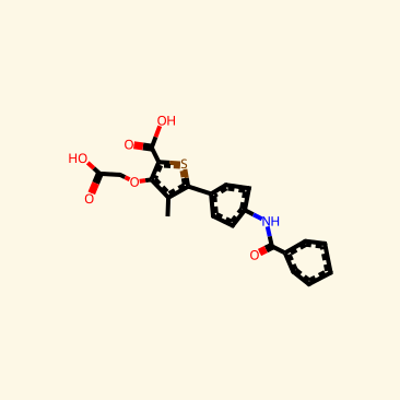 Cc1c(-c2ccc(NC(=O)c3ccccc3)cc2)sc(C(=O)O)c1OCC(=O)O